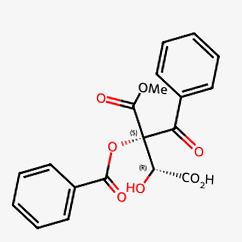 COC(=O)[C@@](OC(=O)c1ccccc1)(C(=O)c1ccccc1)[C@@H](O)C(=O)O